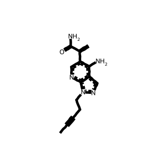 C=C(C(N)=O)c1cnc2c(cnn2CCC#CC)c1N